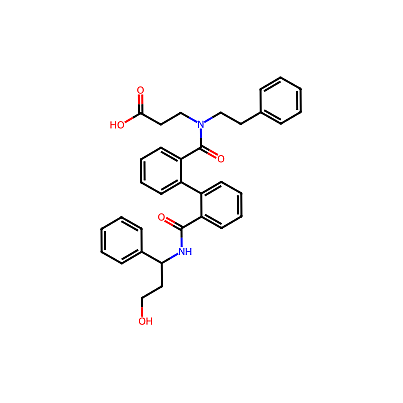 O=C(O)CCN(CCc1ccccc1)C(=O)c1ccccc1-c1ccccc1C(=O)NC(CCO)c1ccccc1